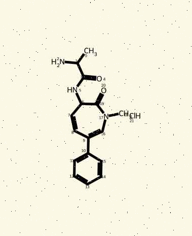 CC(N)C(=O)NC1C=CC(c2ccccc2)=CN(C)C1=O.Cl